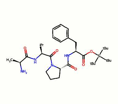 CC(C)[C@H](NC(=O)[C@H](C)N)C(=O)N1CCC[C@H]1C(=O)N[C@@H](Cc1ccccc1)C(=O)O[Si](C(C)(C)C)(C(C)(C)C)C(C)(C)C